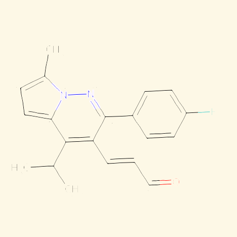 Cc1ccc2c(C(C)C)c(/C=C/C=O)c(-c3ccc(F)cc3)nn12